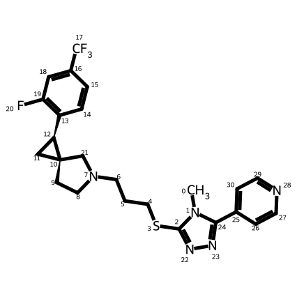 Cn1c(SCCCN2CC[C@]3(C[C@H]3c3ccc(C(F)(F)F)cc3F)C2)nnc1-c1ccncc1